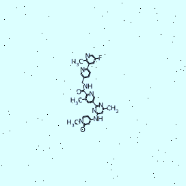 Cc1cc(Nc2ccn(C)c(=O)c2)nc(-c2cnc(C(=O)NCc3ccc(-c4cc(F)cnc4C)nc3)c(C)c2)n1